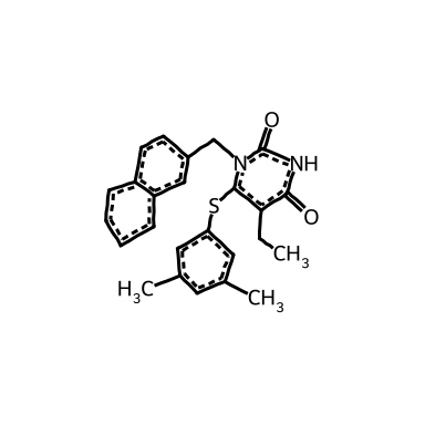 CCc1c(Sc2cc(C)cc(C)c2)n(Cc2ccc3ccccc3c2)c(=O)[nH]c1=O